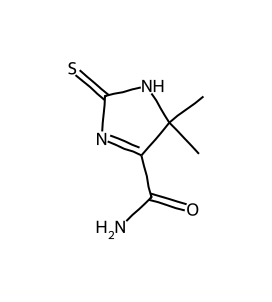 CC1(C)NC(=S)N=C1C(N)=O